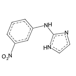 O=[N+]([O-])c1cccc(Nc2ncc[nH]2)c1